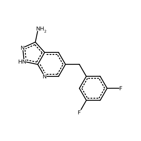 Nc1n[nH]c2ncc(Cc3cc(F)cc(F)c3)cc12